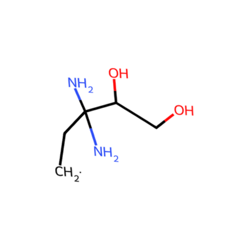 [CH2]CC(N)(N)C(O)CO